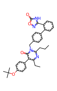 CCCc1nc(CC)c(-c2ccc(OC(C)(C)C)cc2)c(=O)n1Cc1ccc(-c2ccccc2-c2noc(=O)[nH]2)cc1